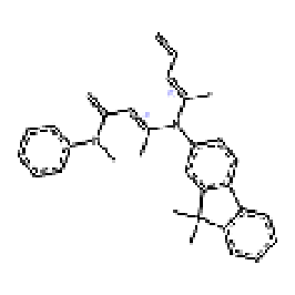 C=C/C=C(\C)N(/C(C)=C/C(=C)N(C)c1ccccc1)c1ccc2c(c1)C(C)(C)c1ccccc1-2